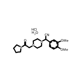 COc1ccc(C(C#N)N2CCN(CC(=O)N3CCCC3)CC2)cc1OC.Cl.O